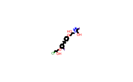 CC(C)(c1ccc(OC[C@H](O)Cn2nnc(I)c2CO)cc1)c1ccc(OC[C@@H](O)CCl)c(I)c1